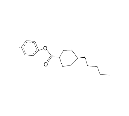 CCCCC[C@H]1CC[C@H](C(=O)Oc2cc[c]cc2)CC1